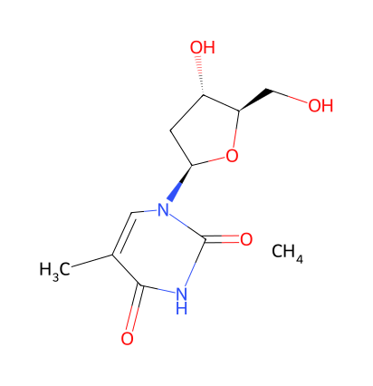 C.Cc1cn([C@H]2C[C@H](O)[C@@H](CO)O2)c(=O)[nH]c1=O